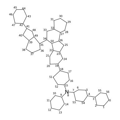 C1CCC(C2CCC(N(C3CCCCC3)C3CCC(C4CCC5C(C4)CC4C6CCCCC6CC(C6CCCC7CC(C8CCCCC8)CC76)C54)CC3)CC2)CC1